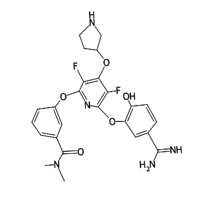 CN(C)C(=O)c1cccc(Oc2nc(Oc3cc(C(=N)N)ccc3O)c(F)c(OC3CCNC3)c2F)c1